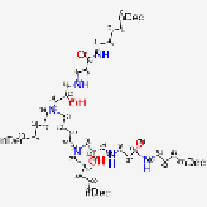 CCCCCCCCCCCCCCNC(=O)CCNCC(O)CN(CCCCCCCCCCCCCC)CCCCN(CCCCCCCCCCCCCC)CC(O)CNCCC(=O)NCCCCCCCCCCCCC